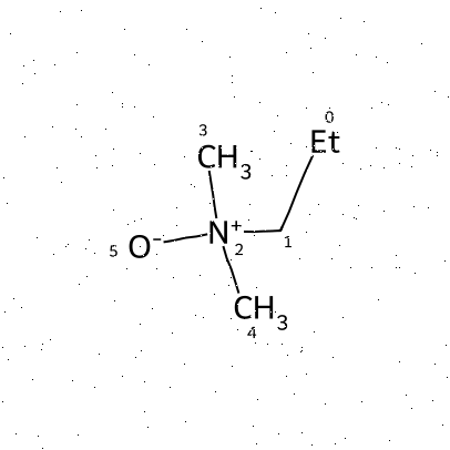 CCC[N+](C)(C)[O-]